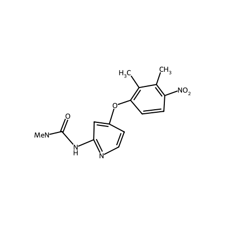 CNC(=O)Nc1cc(Oc2ccc([N+](=O)[O-])c(C)c2C)ccn1